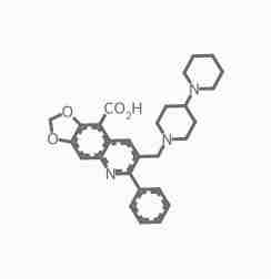 O=C(O)c1c2c(cc3nc(-c4ccccc4)c(CN4CCC(N5CCCCC5)CC4)cc13)OCO2